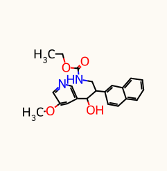 CCOC(=O)NCC(c1ccc2ccccc2c1)C(O)c1cncc(OC)c1